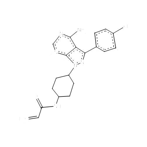 C=CC(=O)NC1CCC(n2nc(-c3ccc(Cl)cc3)c3c(N)ncnc32)CC1